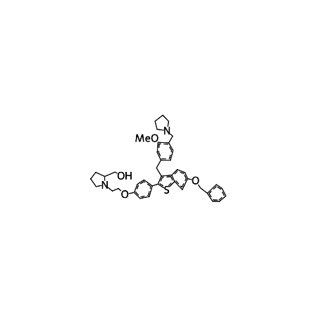 COc1cc(Cc2c(-c3ccc(OCCN4CCCC4CO)cc3)sc3cc(OCc4ccccc4)ccc23)ccc1CN1CCCC1